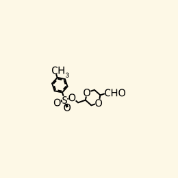 Cc1ccc(S(=O)(=O)OCC2COC(C=O)CO2)cc1